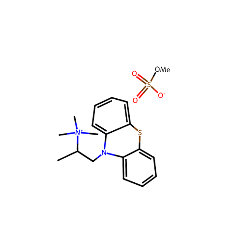 CC(CN1c2ccccc2Sc2ccccc21)[N+](C)(C)C.COS(=O)(=O)[O-]